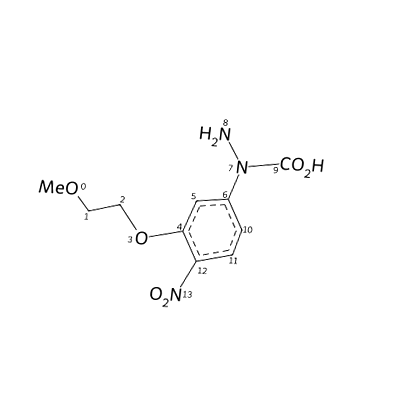 COCCOc1cc(N(N)C(=O)O)ccc1[N+](=O)[O-]